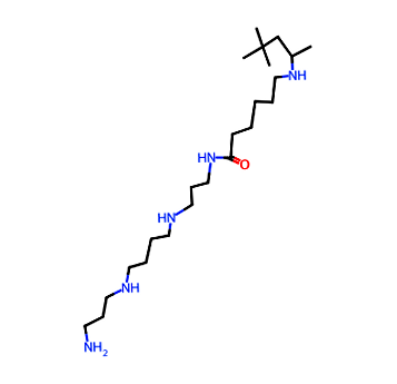 CC(CC(C)(C)C)NCCCCCC(=O)NCCCNCCCCNCCCN